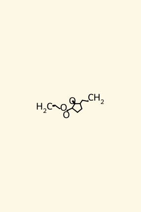 C=CCOC(=O)C1CCC(CC=C)C1=O